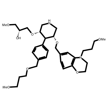 COCCCOCc1ccc(C2[C@@H](OCc3ccc4c(c3)N(CCCOC)CCO4)CNC[C@H]2OC[C@H](O)COC)cc1